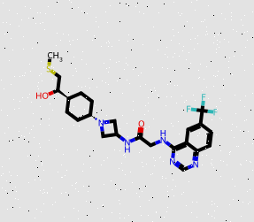 CSCC(O)[C@H]1CC[C@H](N2CC(NC(=O)CNc3ncnc4ccc(C(F)(F)F)cc34)C2)CC1